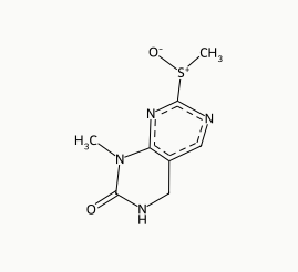 CN1C(=O)NCc2cnc([S+](C)[O-])nc21